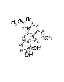 C=C(Br)CN1CCc2cc(O)cc3c2C1Cc1ccc(O)c(O)c1-3